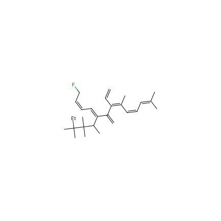 C=C/C(C(=C)/C(=C/C=C\CF)C(C)C(C)(C)C(C)(C)CC)=C(C)/C=C\C=C(C)C